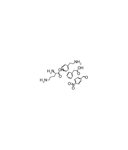 NCCC[C@@H](N)C(=O)O.NCCc1ccccc1.O=C(O)Cc1ccccc1.O=Cc1ccc([N+](=O)[O-])cc1